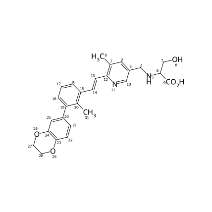 Cc1cc(CNC(CO)C(=O)O)cnc1/C=C/c1cccc(-c2ccc3c(c2)OCCO3)c1C